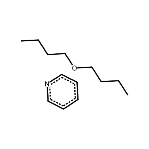 CCCCOCCCC.c1ccncc1